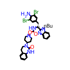 CCCCn1c([C@@H](Cc2cc(Br)c(N)c(Br)c2)NC(=O)ON2CCC(N3CCc4ccccc4NC3=O)CC2)nc2ccccc21